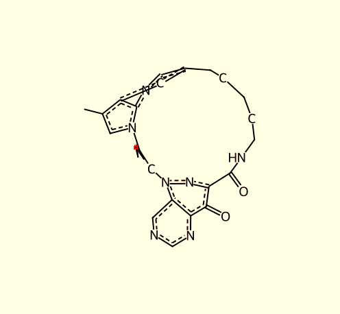 Cc1cn2c3ncc(cc13)CCCCCNC(=O)c1nn(c3cncnc3c1=O)CC21CCCC1